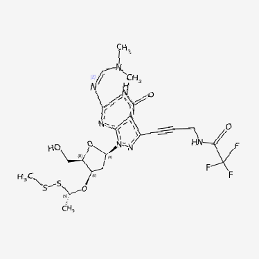 CSS[C@@H](C)O[C@@H]1C[C@H](n2nc(C#CCNC(=O)C(F)(F)F)c3c(=O)[nH]c(/N=C\N(C)C)nc32)O[C@@H]1CO